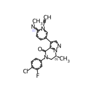 C#Cn1cc(-c2cnn3c2C(=O)N(c2ccc(Cl)c(F)c2)C[C@@H]3C)cc/c1=N/C